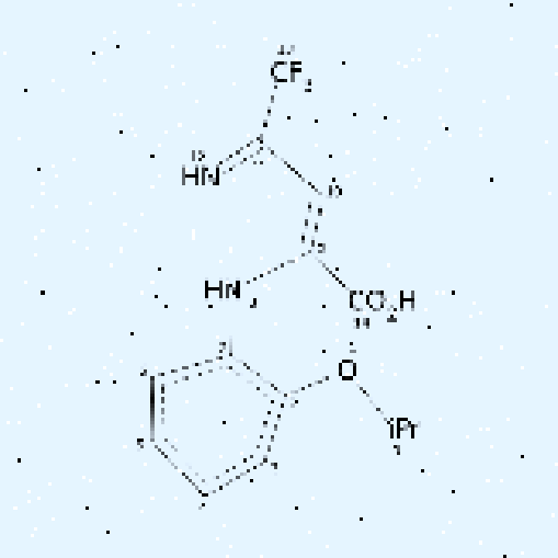 CC(C)Oc1ccccc1N/C(=C\C(=N)C(F)(F)F)C(=O)O